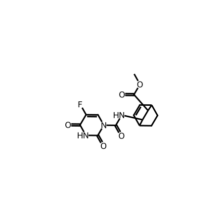 COC(=O)C1C2C=CC(CC2)C1NC(=O)n1cc(F)c(=O)[nH]c1=O